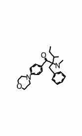 CCC(C)C(Cc1ccccc1)(C(=O)c1ccc(N2CCOCC2)cc1)N(C)C